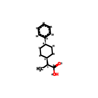 CC(C(=O)O)[C@H]1CC[C@H](c2ccccc2)CC1